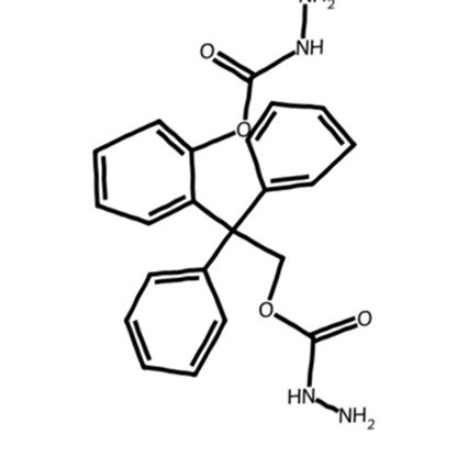 NNC(=O)OCC(c1ccccc1)(c1ccccc1)c1ccccc1OC(=O)NN